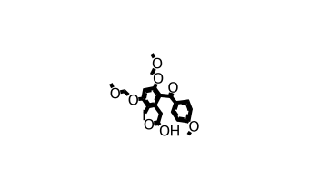 COCOc1cc(OCOC)c(C(=O)c2ccc(OC)cc2)c(CC(=O)O)c1I